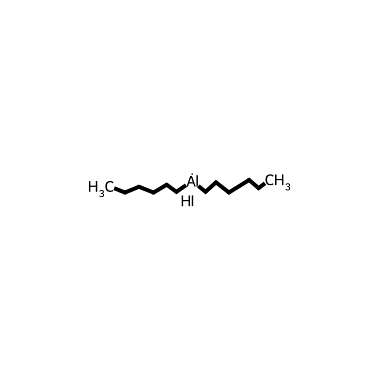 CCCCC[CH2][Al][CH2]CCCCC.I